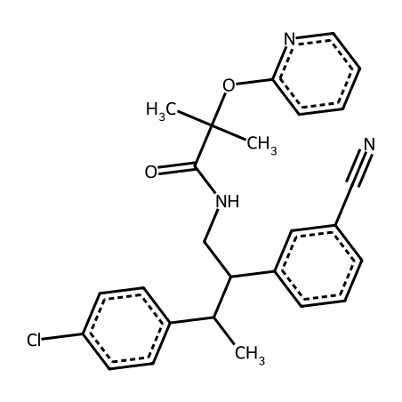 CC(c1ccc(Cl)cc1)C(CNC(=O)C(C)(C)Oc1ccccn1)c1cccc(C#N)c1